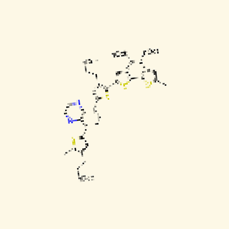 CCCCCCCCCCCCc1cc(-c2ccc(-c3cc(CCCCCCCCCCCC)c(-c4cc5c(CCCCCCCC)c(CCCCCCCC)c6cc(C)sc6c5s4)s3)c3nccnc23)sc1C